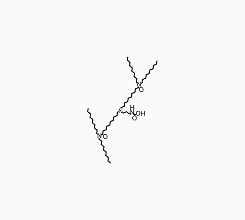 CCCCCCCCCCN(CCCCCCCCCC)C(=O)CCCCCCCCCN(CCCCCCCCCC(=O)N(CCCCCCCCCC)CCCCCCCCCC)CCCNC(=O)O